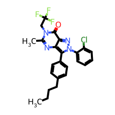 CCCCc1ccc(-c2c3nc(C)n(CC(F)(F)F)c(=O)c3nn2-c2ccccc2Cl)cc1